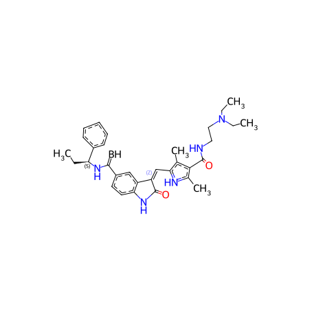 B=C(N[C@@H](CC)c1ccccc1)c1ccc2c(c1)/C(=C/c1[nH]c(C)c(C(=O)NCCN(CC)CC)c1C)C(=O)N2